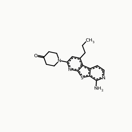 CCCc1cc(N2CCC(=O)CC2)nc2sc3c(N)nccc3c12